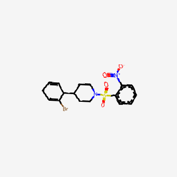 O=[N+]([O-])c1ccccc1S(=O)(=O)N1CCC(C2C=CCC=C2Br)CC1